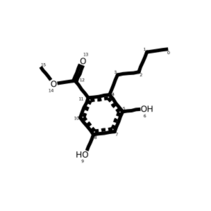 CCCCc1c(O)cc(O)cc1C(=O)OC